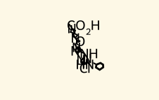 O=C(O)N1CC2(C1)CN(C(=O)Cn1cc(Nc3ncc(Cl)c(NCc4ccccc4)n3)cn1)C2